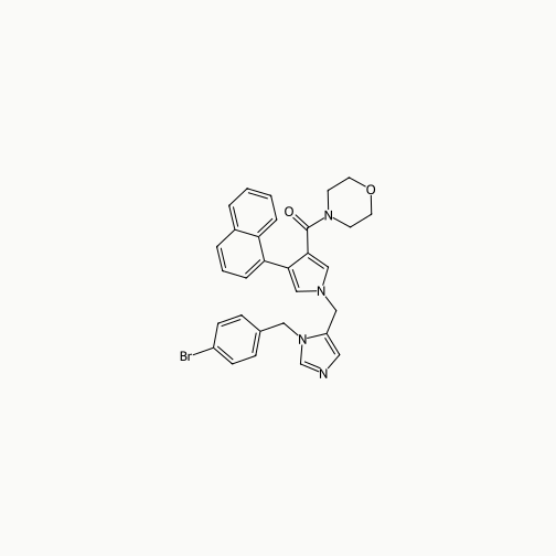 O=C(c1cn(Cc2cncn2Cc2ccc(Br)cc2)cc1-c1cccc2ccccc12)N1CCOCC1